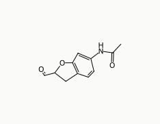 CC(=O)Nc1ccc2c(c1)OC(C=O)C2